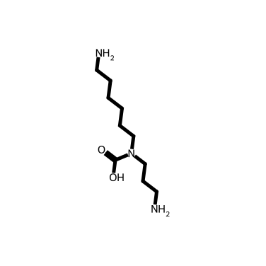 NCCCCCCN(CCCN)C(=O)O